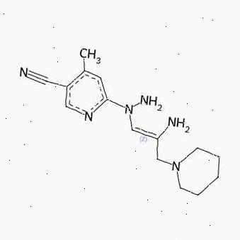 Cc1cc(N(N)/C=C(\N)CN2CCCCC2)ncc1C#N